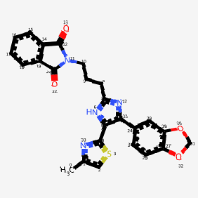 Cc1csc(-c2[nH]c(CCCN3C(=O)c4ccccc4C3=O)nc2-c2ccc3c(c2)OCO3)n1